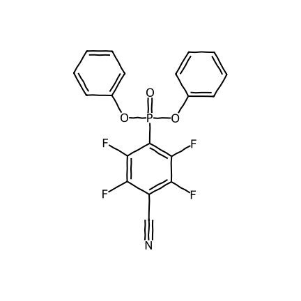 N#Cc1c(F)c(F)c(P(=O)(Oc2ccccc2)Oc2ccccc2)c(F)c1F